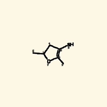 CC1=C(S)CC(C)O1